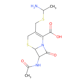 CC(=O)NC1C(=O)N2C(C(=O)O)=C(CSC(C)N)CSC12